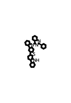 c1ccc(-c2nc(-n3c4ccccc4c4cc5c(cc43)sc3c5ccc4c5ccccc5[nH]c43)c3ccccc3n2)cc1